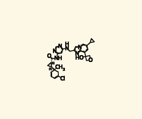 CC1([C@H]2C[C@@H]2C(=O)Nc2cc(NCc3cn4cc(C5CC5)cc(C5(O)COC5)c4n3)ncn2)C=CC=C(Cl)C1